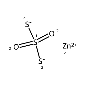 O=S(=O)([S-])[S-].[Zn+2]